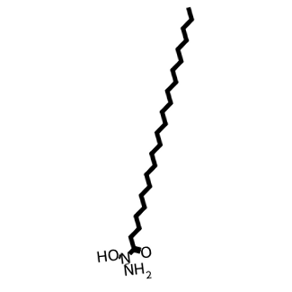 CCCCCCCCCCCCCCCCCCCCCCCC(=O)N(N)O